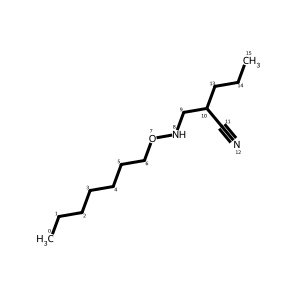 CCCCCCCONCC(C#N)CCC